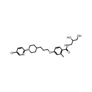 Cc1cc(OCCCC2CCN(c3ccc(Cl)cn3)CC2)ccc1C(=O)NCC(O)CO